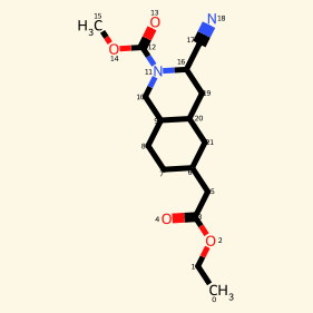 CCOC(=O)CC1CCC2CN(C(=O)OC)C(C#N)CC2C1